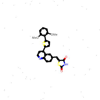 COc1cccc(OC)c1-c1ccc(-c2ccnc3ccc(/C=C4\SC(=O)NC4=O)cc23)s1